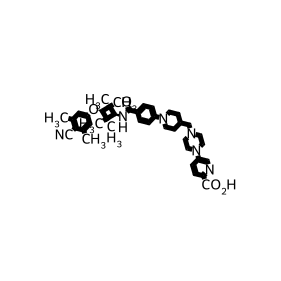 Cc1cc(O[C@H]2C(C)(C)[C@H](NC(=O)c3ccc(N4CCC(CN5CCN(c6ccc(C(=O)O)nc6)CC5)CC4)cc3)C2(C)C)cc(C)c1C#N